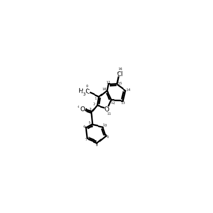 Cc1c(C(=O)c2ccccc2)oc2ccc(Cl)cc12